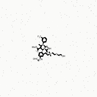 COC(=O)C1=C(C)N(c2cccc(C(F)(F)F)c2)c2n[nH]c(=O)n2[C@@H]1c1ccc(C#N)cc1CC[N+](C)(C)CCOCCO.O=C[O-]